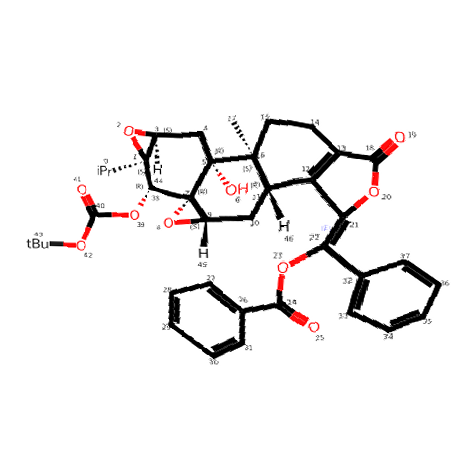 CC(C)[C@]12O[C@H]1C[C@]1(O)[C@]3(O[C@H]3C[C@H]3C4=C(CC[C@@]31C)C(=O)O/C4=C(/OC(=O)c1ccccc1)c1ccccc1)[C@@H]2OC(=O)OC(C)(C)C